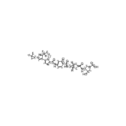 Cn1c(-c2cn([C@@H]3CC3(F)F)nc2C(F)(F)F)cnc1C(=O)Nc1ccc(C(=O)N[C@@H]2[C@@H]3CN(C(=O)N[C@H]4CN(C(=O)O)C[C@@H]4O)C[C@@H]32)c(Cl)c1